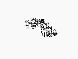 CC(CO)(N=c1cnc2c(Nc3cccc(-c4ccccc4)c3Cl)[nH]sc-2c1)C(=O)O